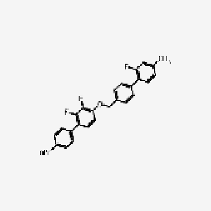 CCCc1ccc(-c2ccc(OCc3ccc(-c4ccc(C)cc4F)cc3)c(F)c2F)cc1